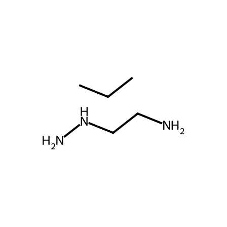 CCC.NCCNN